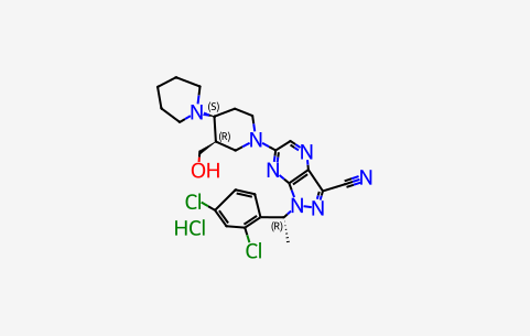 C[C@H](c1ccc(Cl)cc1Cl)n1nc(C#N)c2ncc(N3CC[C@H](N4CCCCC4)[C@H](CO)C3)nc21.Cl